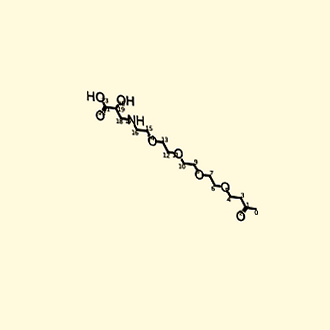 CC(=O)CCOCCOCCOCCOCCNCC(O)C(=O)O